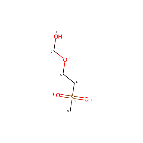 CS(=O)(=O)CCOCO